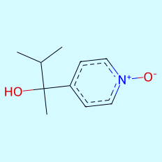 CC(C)C(C)(O)c1cc[n+]([O-])cc1